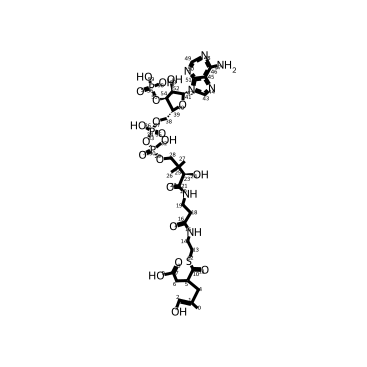 CC(=CO)CC(CC(=O)O)C(=O)SCCNC(=O)CCNC(=O)[C@H](O)C(C)(C)COP(=O)(O)OP(=O)(O)OC[C@H]1O[C@@H](n2cnc3c(N)ncnc32)[C@H](O)[C@@H]1OP(=O)(O)O